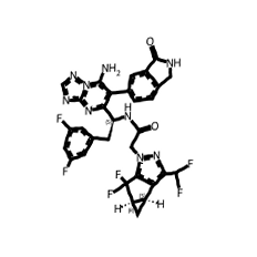 Nc1c(-c2ccc3c(c2)C(=O)NC3)c([C@H](Cc2cc(F)cc(F)c2)NC(=O)Cn2nc(C(F)F)c3c2C(F)(F)[C@@H]2C[C@H]32)nc2ncnn12